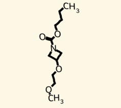 CCCCOC(=O)N1CC(OCCOC)C1